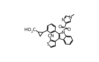 Cn1cnc(S(=O)(=O)n2c(-c3cccc(C4CC4C(=O)O)c3)c(-c3ccsc3C#N)c3ccccc32)c1